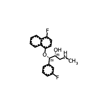 CNC[C@@H](O)[C@@H](Oc1ccc(F)c2ccccc12)c1cccc(F)c1